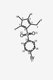 CCC1=C(C)C(C)C(C)=C1S(=O)(=O)c1ccc(Br)cc1